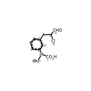 CC(C)(C)N(C(=O)O)c1cccc(CC(Cl)C=O)c1